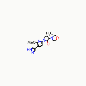 COc1nc(N2CCC(N3CCOC[C@H]3C)C2=O)ccc1-c1cn[nH]c1